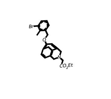 CCOC(=O)CN1CC2=CC(OCc3cccc(Br)c3C)=C3C=CC(=C2C3)C1